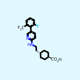 O=C(O)[C@H]1CC[C@H](CCNc2ccc(-c3c(F)cccc3C(F)(F)F)cn2)CC1